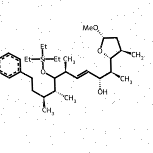 CC[Si](CC)(CC)OC([C@@H](C)/C=C/[C@@H](O)[C@H](C)[C@@H]1O[C@H](OC)C[C@H]1C)[C@H](C)[C@@H](C)CCc1ccccc1